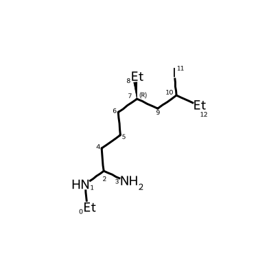 CCNC(N)CCC[C@@H](CC)CC(I)CC